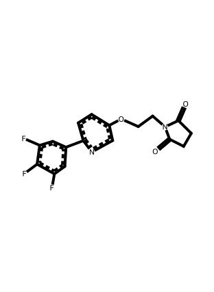 O=C1CCC(=O)N1CCOc1ccc(-c2cc(F)c(F)c(F)c2)nc1